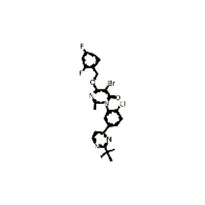 Cc1nc(OCc2ccc(F)cc2F)c(Br)c(=O)n1-c1cc(-c2ccnc(C(C)(C)C)n2)ccc1Cl